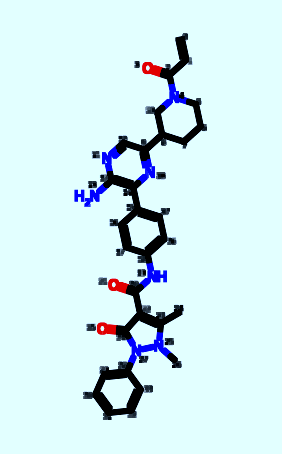 C=CC(=O)N1CCCC(c2cnc(N)c(-c3ccc(NC(=O)c4c(C)n(C)n(-c5ccccc5)c4=O)cc3)n2)C1